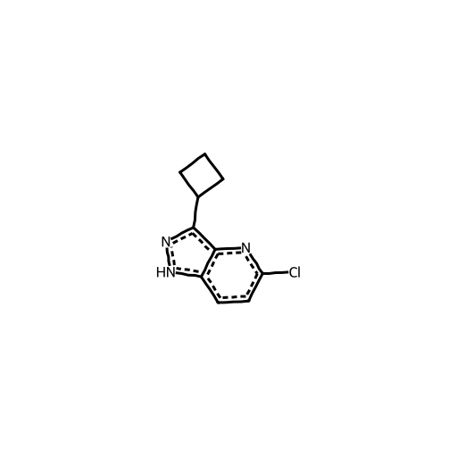 Clc1ccc2[nH]nc(C3CCC3)c2n1